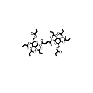 CCC(=O)OC[C@H]1O[C@@H](OC(=O)/C=C/C(=O)O[C@@H]2O[C@H](COC(=O)CC)[C@H](OC(=O)CC)[C@H](OC(=O)CC)[C@H]2OC(=O)CC)[C@H](OC(=O)CC)[C@@H](OC(=O)CC)[C@H]1OC(=O)CC